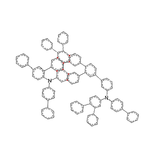 c1ccc(-c2ccc(N(c3cccc(-c4ccc(-c5cccc(-c6ccc(-c7cc(-c8ccccc8)ccc7N(c7ccc(-c8ccccc8)cc7)c7cccc(-c8ccc(-c9ccccc9)c(-c9ccccc9)c8)c7)cc6)c5)c(-c5ccccc5)c4)c3)c3ccc(-c4ccccc4)c(-c4ccccc4)c3)cc2)cc1